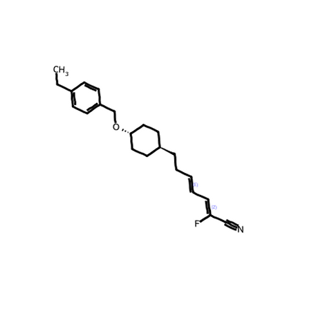 CCc1ccc(CO[C@H]2CC[C@H](CC/C=C/C=C(\F)C#N)CC2)cc1